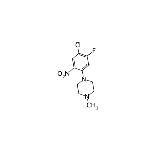 CN1CCN(c2cc(F)c(Cl)cc2[N+](=O)[O-])CC1